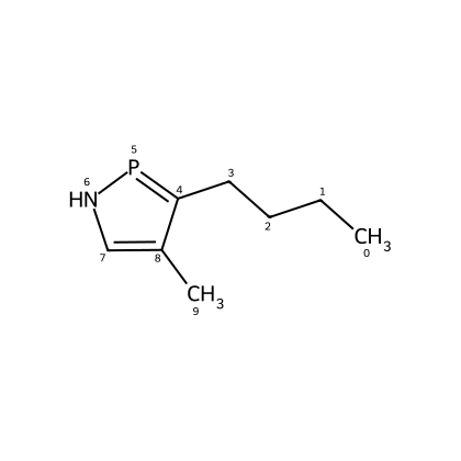 CCCCc1p[nH]cc1C